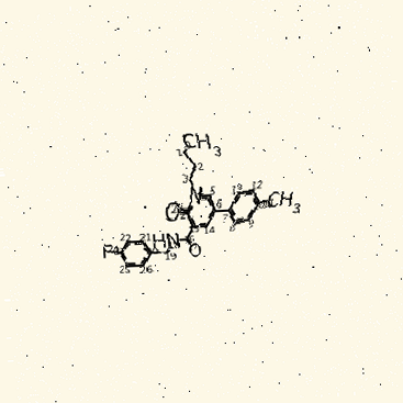 CCCCn1cc(-c2ccc(C)cc2)cc(C(=O)NCc2ccc(F)cc2)c1=O